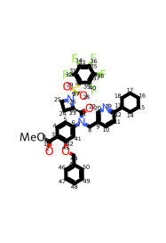 COC(=O)c1ccc(N(Cc2ccc(C3CCCCC3)nc2)C(=O)[C@H]2CCN2S(=O)(=O)c2c(F)c(F)c(F)c(F)c2F)cc1OCc1ccccc1